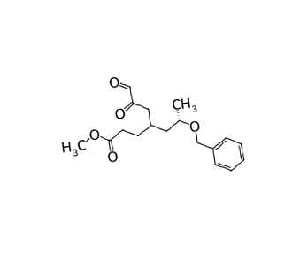 COC(=O)CCC(CC(=O)C=O)C[C@H](C)OCc1ccccc1